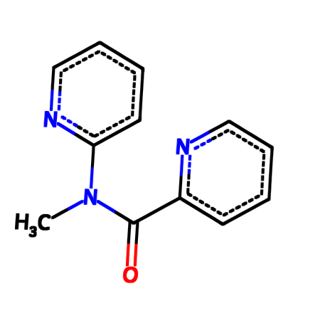 CN(C(=O)c1ccccn1)c1ccccn1